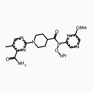 CCCON(C(=O)C1CCN(c2ncc(C)c(C(N)=O)n2)CC1)c1cncc(OC)n1